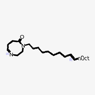 CCCCCCCC/C=C/CCCCCCCCN1CC/N=C\CCC1=O